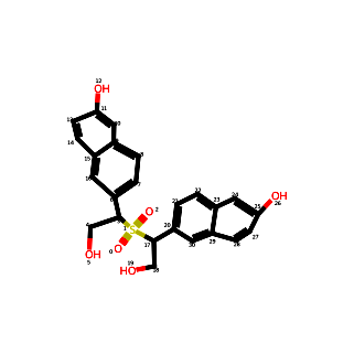 O=S(=O)(C(CO)c1ccc2cc(O)ccc2c1)C(CO)c1ccc2cc(O)ccc2c1